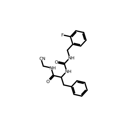 N#CCNC(=O)C(Cc1ccccc1)NC(=O)NCc1ccccc1F